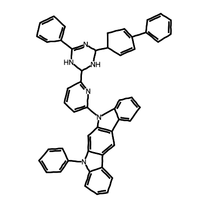 C1=CC(C2N=C(c3ccccc3)NC(c3cccc(-n4c5ccccc5c5cc6c7ccccc7n(-c7ccccc7)c6cc54)n3)N2)CC=C1c1ccccc1